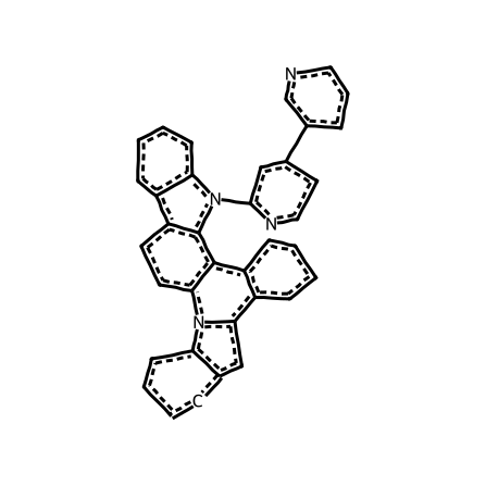 c1cncc(-c2ccnc(-n3c4ccccc4c4ccc5c(c6ccccc6c6cc7ccccc7n65)c43)c2)c1